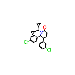 O=C1C=CC(c2cccc(Cl)c2)C(c2ccc(Cl)cc2)N1C(C1CC1)C1CC1